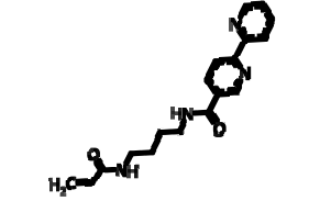 C=CC(=O)NCCCCNC(=O)c1ccc(-c2ccccn2)nc1